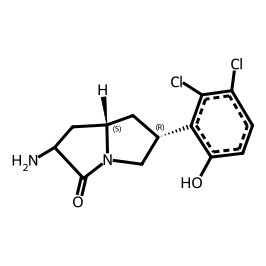 NC1C[C@@H]2C[C@H](c3c(O)ccc(Cl)c3Cl)CN2C1=O